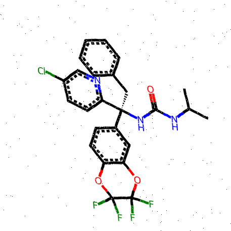 CC(C)NC(=O)N[C@@](Cc1ccccc1)(c1ccc2c(c1)OC(F)(F)C(F)(F)O2)c1ccc(Cl)cn1